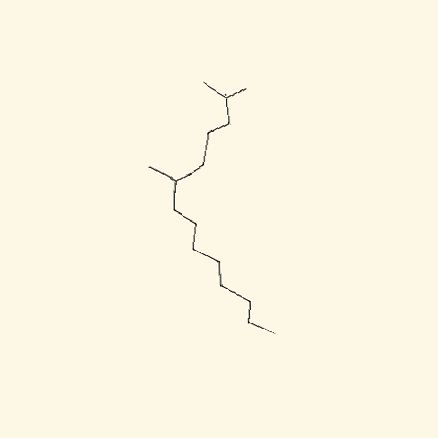 CCCCCCCCC(C)CCC[C](C)C